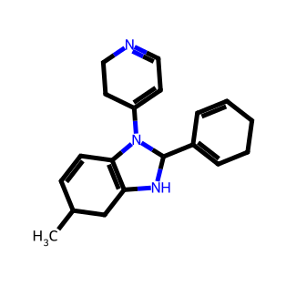 CC1C=CC2=C(C1)NC(C1=CCCC=C1)N2C1=CC=NCC1